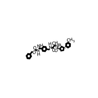 Cc1cccc([C@@H]2CC[C@@H](C(=O)N[C@@H](C)C(=O)NCc3ccc(C(=N)NC(=O)OCc4ccccc4)cc3)C2)c1